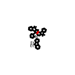 CCC1(CC)c2ccccc2-c2ccc(N(c3ccc4c(c3)C(C)(C)c3ccccc3-4)c3ccccc3-c3cccc4c3-c3ccccc3C4(C)C)cc21